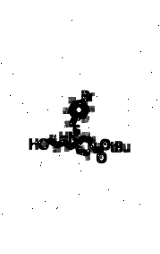 CC(C)(C)OC(=O)N1CCC(CCCCO)(NSCc2ccc(Br)cc2)CC1